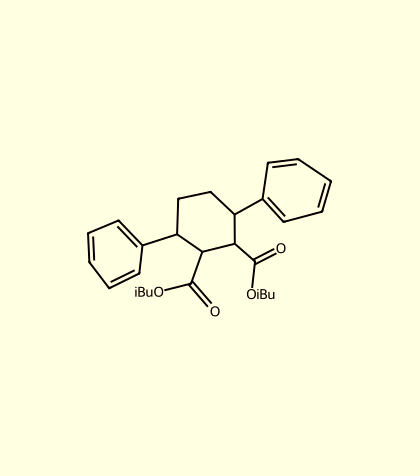 CC(C)COC(=O)C1C(c2ccccc2)CCC(c2ccccc2)C1C(=O)OCC(C)C